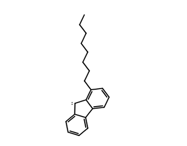 CCCCCCCCc1cccc2c1[C]c1ccccc1-2